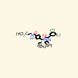 CC(C)CC1(C)N=C(c2cc(Cl)cc(Cl)c2)C(=O)N1[C@H](CCC(C)(C)C)c1ccc(C(=O)NCCC(=O)O)cc1